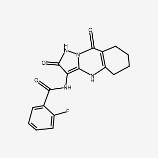 O=C(Nc1c(=O)[nH]n2c(=O)c3c([nH]c12)CCCC3)c1ccccc1F